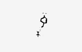 CN(C)c1ccc(/C=N/NC(=O)C(C)(C)C)cc1